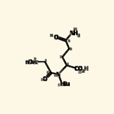 CCCCCCCCCCCC(=O)N(CCCC)C(CCC(N)=O)C(=O)O